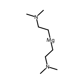 CN(C)C[CH2][Mg][CH2]CN(C)C